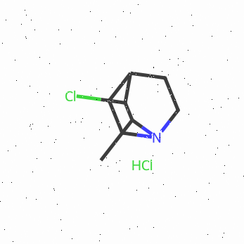 CC1C(Cl)C2CCN1CC2.Cl